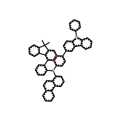 CC1(C)c2ccccc2-c2c(-c3ccccc3N(c3ccc(-c4ccc5c(c4)c4ccccc4n5-c4ccccc4)cc3)c3cccc4c3ccc3ccccc34)cccc21